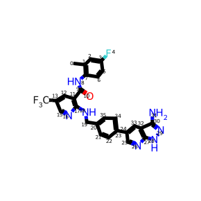 Cc1cc(F)ccc1NC(=O)c1cc(C(F)(F)F)cnc1NCc1ccc(-c2cnc3[nH]nc(N)c3c2)cc1